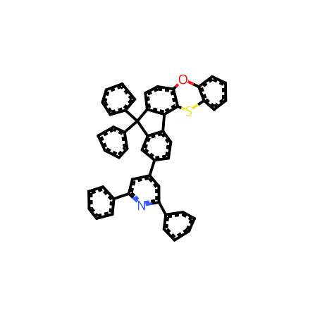 c1ccc(-c2cc(-c3ccc4c(c3)C(c3ccccc3)(c3ccccc3)c3ccc5c(c3-4)Sc3ccccc3O5)cc(-c3ccccc3)n2)cc1